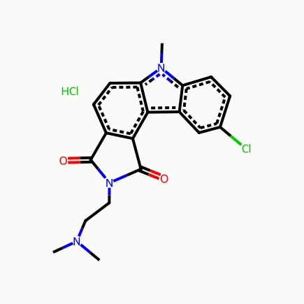 CN(C)CCN1C(=O)c2ccc3c(c2C1=O)c1cc(Cl)ccc1n3C.Cl